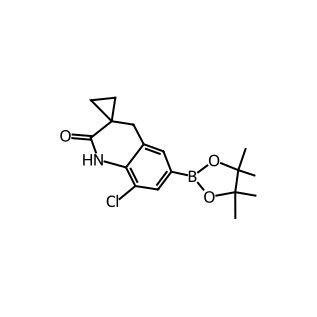 CC1(C)OB(c2cc(Cl)c3c(c2)CC2(CC2)C(=O)N3)OC1(C)C